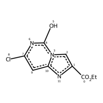 CCOC(=O)c1cn2c(O)nc(Cl)cc2n1